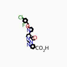 O=C(O)c1ccc2nc(CN3CCC(c4cccc(OCc5ccc(Cl)cc5F)n4)CC3)n(C3CCOC3)c2c1